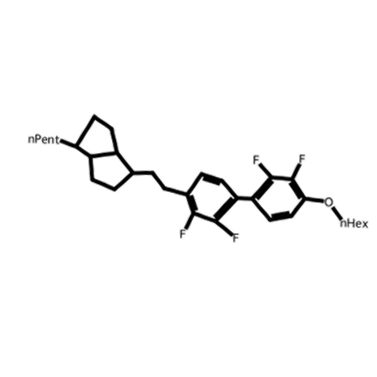 CCCCCCOc1ccc(-c2ccc(CCC3CCC4C(CCCCC)CCC34)c(F)c2F)c(F)c1F